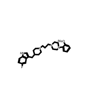 COc1ccccc1N1CCN(CCCN2CCC(Cc3c[nH]c4ccc(F)cc34)CC2)CC1